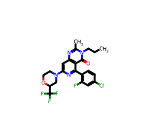 CCCn1c(C)nc2cc(N3CCOC(C(F)(F)F)C3)nc(-c3ccc(Cl)cc3F)c2c1=O